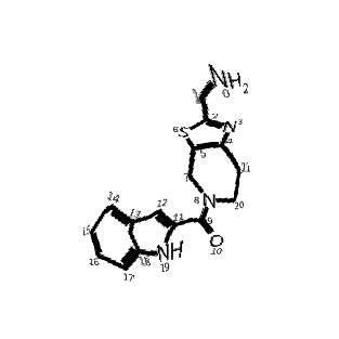 NCc1nc2c(s1)CN(C(=O)c1cc3ccccc3[nH]1)CC2